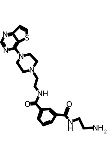 NCCNC(=O)c1cccc(C(=O)NCCN2CCN(c3ncnc4ccsc34)CC2)c1